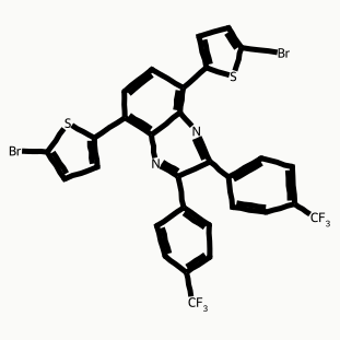 FC(F)(F)c1ccc(-c2nc3c(-c4ccc(Br)s4)ccc(-c4ccc(Br)s4)c3nc2-c2ccc(C(F)(F)F)cc2)cc1